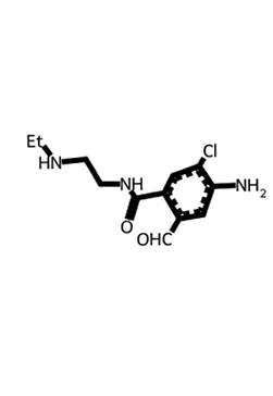 CCNCCNC(=O)c1cc(Cl)c(N)cc1C=O